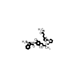 COC(=O)CCc1cnc(N2CCC[C@H]2COC(C)C(=O)Cc2cc(Cl)c(NC(=O)c3cn(C)c4ccccc34)cc2Cl)s1